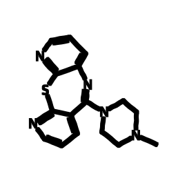 CN1CCN(C2=Nc3cccnc3Sc3ncccc32)CC1